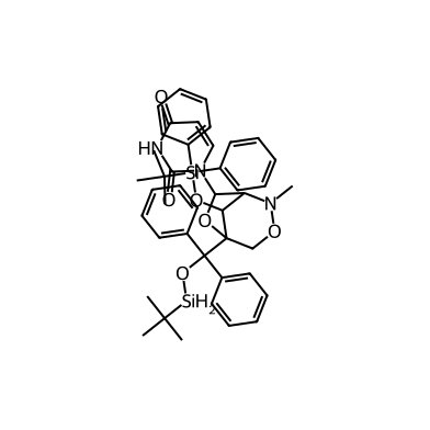 CN1OCC2(C(O[SiH2]C(C)(C)C)(c3ccccc3)c3ccccc3)OC(n3ccc(=O)[nH]c3=O)C1C2O[Si](c1ccccc1)(c1ccccc1)C(C)(C)C